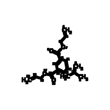 C=C(C)C.C=CCOC(=O)c1cccc(C(=O)OCC=C)c1